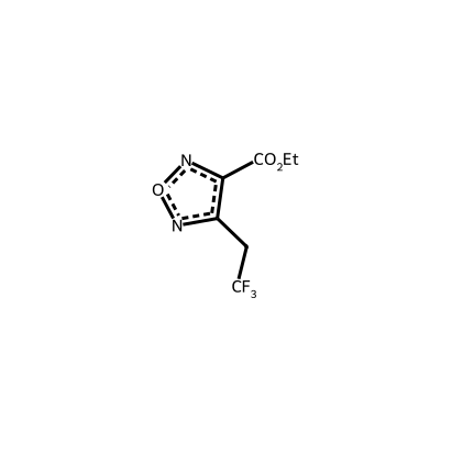 CCOC(=O)c1nonc1CC(F)(F)F